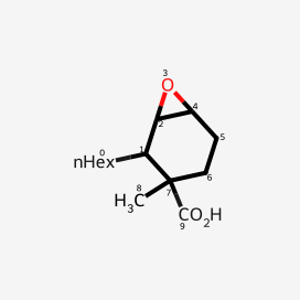 CCCCCCC1C2OC2CCC1(C)C(=O)O